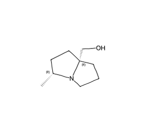 C[C@@H]1CC[C@@]2(CO)CCCN12